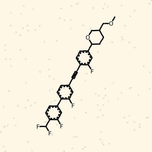 COCC1CCC(c2ccc(C#Cc3ccc(-c4ccc(C(F)F)c(F)c4)c(F)c3)c(F)c2)OC1